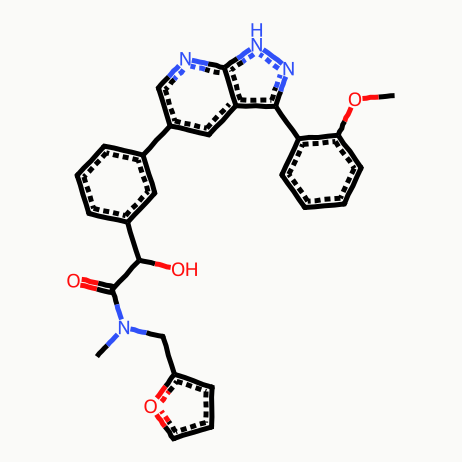 COc1ccccc1-c1n[nH]c2ncc(-c3cccc(C(O)C(=O)N(C)Cc4ccco4)c3)cc12